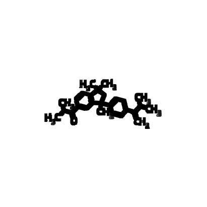 C=C(c1ccc(C2(C)CC(C)(C)c3ccc(C(=O)C(C)C)cc32)cc1)C(C)C